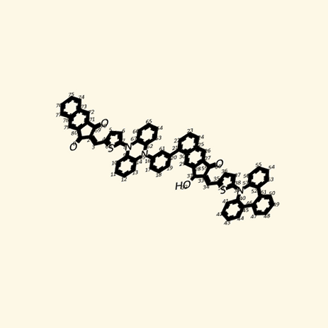 O=C1C(=Cc2ccc(N3c4ccccc4N(c4cccc(-c5cccc6cc7c(cc56)C(O)/C(=C/c5ccc(N6c8ccccc8-c8ccccc8-c8ccccc86)s5)C7=O)c4)c4ccccc43)s2)C(=O)c2cc3ccccc3cc21